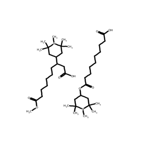 CN1C(C)(C)CC(OC(=O)CCCCCCCCC(=O)O)CC1(C)C.COC(=O)CCCCCCC(CC(=O)O)C1CC(C)(C)N(C)C(C)(C)C1